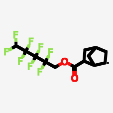 O=C(OCC(F)(F)C(F)(F)C(F)(F)C(F)F)C1CC2C[CH]C1C2